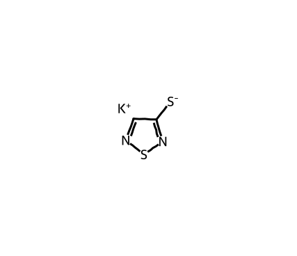 [K+].[S-]c1cnsn1